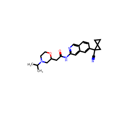 CC(C)N1CCOC(CC(=O)Nc2cc3cc(C4(C#N)CC45CC5)ccc3cn2)C1